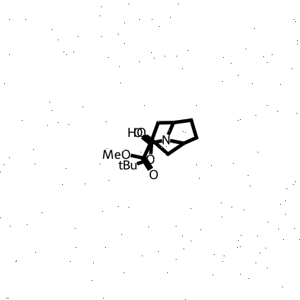 COC(=O)C1(O)CC2CCC(C1)N2C(=O)OC(C)(C)C